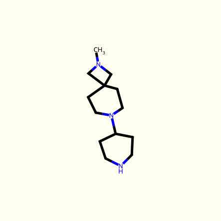 CN1CC2(CCN(C3CCNCC3)CC2)C1